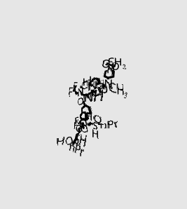 CCCC(O)=[SH]CCOP(=O)(OCC[SH]=C(O)CCC)C(F)(F)c1ccc2ccc(C(=O)N[C@H]3CN(CC(F)F)CC[C@H]4CC[C@@H](C(=O)N(C)C5CCN(S(C)(=O)=O)CC5)N4C3=O)cc2c1